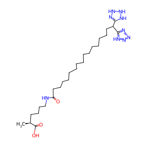 C[C@@H](CCCCNC(=O)CCCCCCCCCCCCCCCC(C1=NNNN1)c1nnn[nH]1)C(=O)O